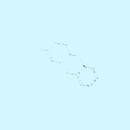 O=C(O)N1CCC(Oc2c(Cl)cccc2Cl)CC1